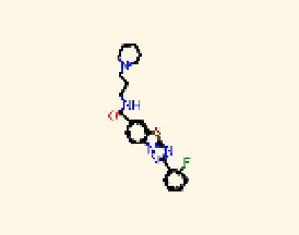 O=C(NCCCN1CCCCC1)c1ccc2c(c1)sc1nc(-c3ccccc3F)nn12